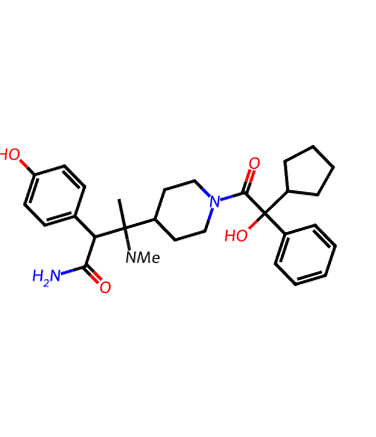 CNC(C)(C1CCN(C(=O)C(O)(c2ccccc2)C2CCCC2)CC1)C(C(N)=O)c1ccc(O)cc1